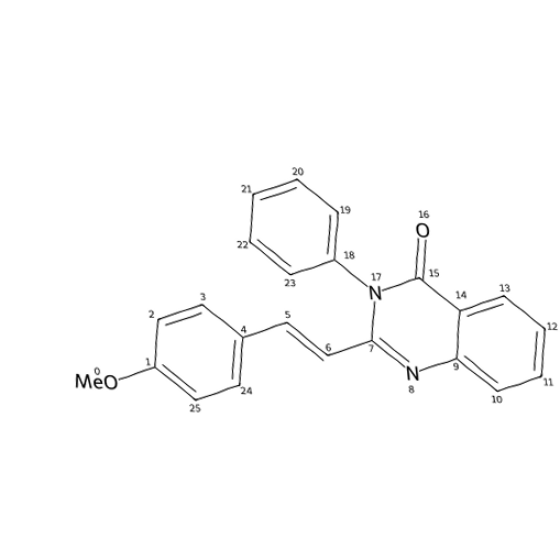 COc1ccc(C=Cc2nc3ccccc3c(=O)n2-c2ccccc2)cc1